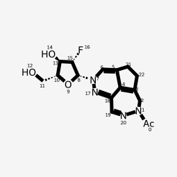 CC(=O)N1CC2=C3C(=CN([C@@H]4O[C@H](CO)[C@@H](O)[C@@H]4F)N=C3C=N1)CC2